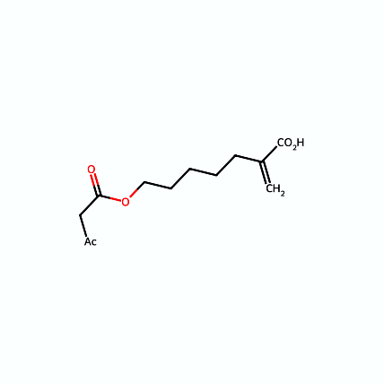 C=C(CCCCCOC(=O)CC(C)=O)C(=O)O